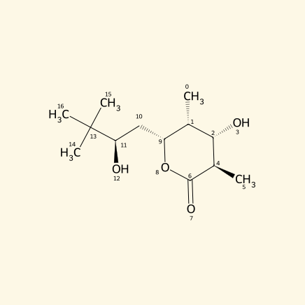 C[C@@H]1[C@H](O)[C@@H](C)C(=O)O[C@@H]1C[C@@H](O)C(C)(C)C